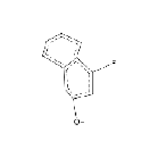 Oc1cc(F)c2ccccc2c1